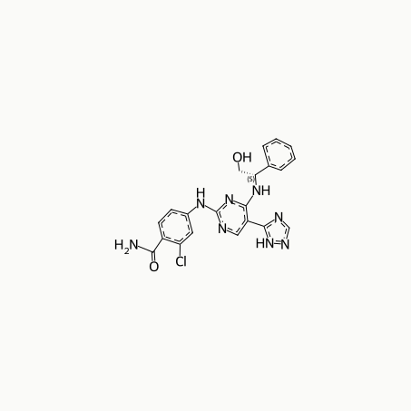 NC(=O)c1ccc(Nc2ncc(-c3ncn[nH]3)c(N[C@H](CO)c3ccccc3)n2)cc1Cl